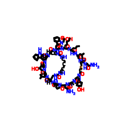 CCCCC[C@H]1C(=O)N(C)[C@@H](CCCC)C(=O)N[C@@H](CC(C)C)C(=O)N[C@H](C(=O)NCC(N)=O)CSCC(=O)N[C@@H](Cc2ccc(O)cc2)C(=O)N(C)[C@@H](C)C(=O)N[C@@H](CC(N)=O)C(=O)N2CCC[C@H]2C(=O)N[C@H]2CNC(=O)NCCCCCCNC(=O)NCC[C@H](NC(=O)[C@H](Cc3c[nH]c4ccccc34)NC(=O)[C@@H]3C[C@@H](O)CN3C(=O)[C@H](CC(C)C)NC2=O)C(=O)NC(Cc2cn(CC(=O)O)c3ccccc23)C(=O)N1C